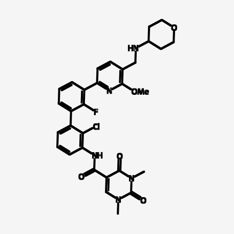 COc1nc(-c2cccc(-c3cccc(NC(=O)c4cn(C)c(=O)n(C)c4=O)c3Cl)c2F)ccc1CNC1CCOCC1